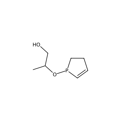 CC(CO)OP1C=CCC1